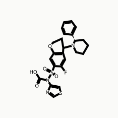 O=C(O)N(c1cscn1)S(=O)(=O)c1cc2c(cc1F)C(N1CCCC[C@H]1c1ccccc1)CCO2